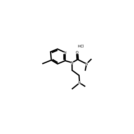 Cc1ccnc(N(CCN(C)C)C(=O)N(C)C)c1.Cl